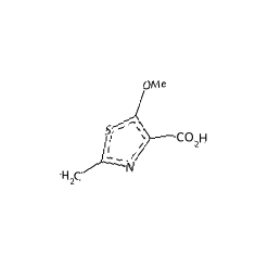 [CH2]c1nc(C(=O)O)c(OC)s1